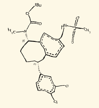 CN(C(=O)OC(C)(C)C)[C@H]1CC[C@@H](c2ccc(Cl)c(Cl)c2)c2ccc(NS(C)(=O)=O)cc21